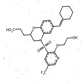 O=C(O)CCC1CN(S(=O)(=O)c2cc(C(F)(F)F)cnc2OCCO)c2cc(C=C3CCCCC3)ccc2O1